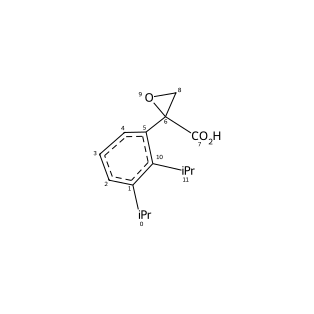 CC(C)c1cccc(C2(C(=O)O)CO2)c1C(C)C